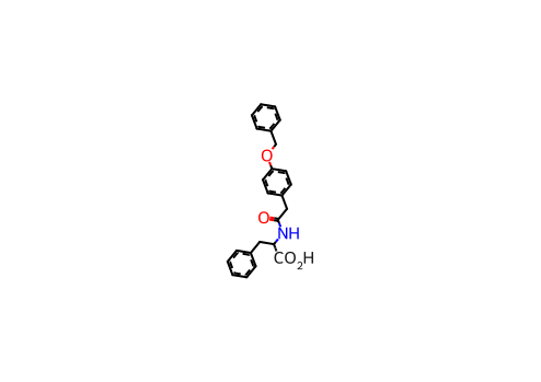 O=C(Cc1ccc(OCc2ccccc2)cc1)NC(Cc1ccccc1)C(=O)O